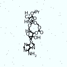 CC(C)OC(=O)C(C)NP1(=O)OCOC(=O)OC2[C@@H](CO1)OC1[C@@H](n3cnc4c(N)ncnc43)C21O